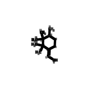 CN1CCC(=NO)C(C)(C)C1(C)C